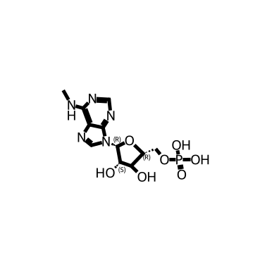 CNc1ncnc2c1ncn2[C@@H]1O[C@H](COP(=O)(O)O)C(O)[C@@H]1O